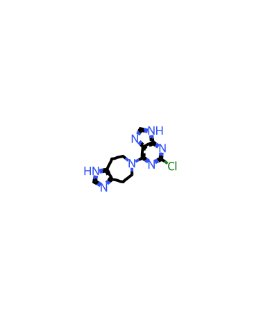 Clc1nc(N2CCc3nc[nH]c3CC2)c2nc[nH]c2n1